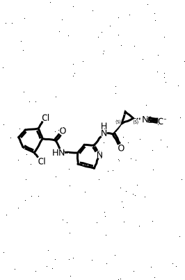 [C-]#[N+][C@H]1C[C@@H]1C(=O)Nc1cc(NC(=O)c2c(Cl)cccc2Cl)ccn1